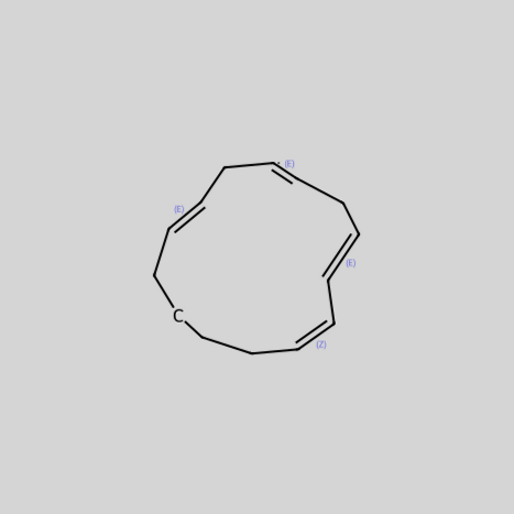 [C]1=C/C/C=C/C=C\CCCC/C=C/C/1